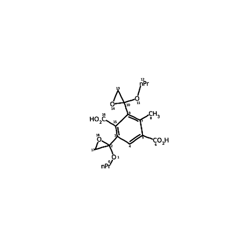 CCCOC1(c2cc(C(=O)O)c(C)c(C3(OCCC)CO3)c2C(=O)O)CO1